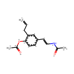 C=CCc1cc(C=CNC(C)=O)ccc1OC(C)=O